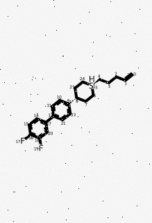 C=CCCC[Si@H]1CC[C@H](c2ccc(-c3ccc(F)c(F)c3)cc2)CC1